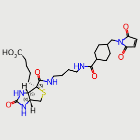 O=C(O)CCCC[C@]1(C(=O)NCCCCNC(=O)C2CCC(CN3C(=O)C=CC3=O)CC2)SC[C@@H]2NC(=O)N[C@@H]21